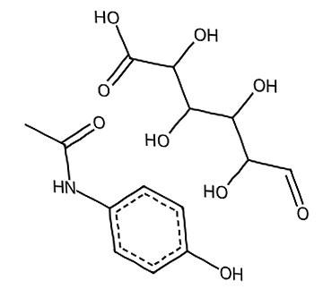 CC(=O)Nc1ccc(O)cc1.O=CC(O)C(O)C(O)C(O)C(=O)O